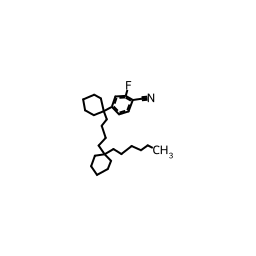 CCCCCCC1(CCCCC2(c3ccc(C#N)c(F)c3)CCCCC2)CCCCC1